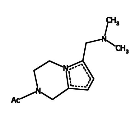 CC(=O)N1CCn2c(CN(C)C)ccc2C1